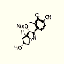 CO[C@@H]1C(c2ccc(C#N)c(Cl)c2C)=NN2C[C@H](O)C[C@@H]12